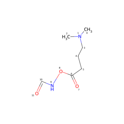 CN(C)CCCC(=O)ONC=O